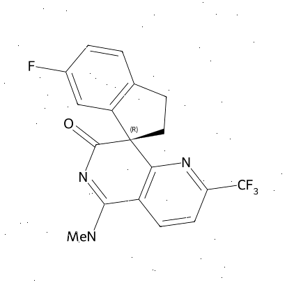 CNC1=NC(=O)[C@@]2(CCc3ccc(F)cc32)c2nc(C(F)(F)F)ccc21